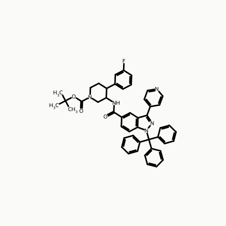 CC(C)(C)OC(=O)N1CCC(c2cccc(F)c2)C(NC(=O)c2ccc3c(c2)c(-c2ccncc2)nn3C(c2ccccc2)(c2ccccc2)c2ccccc2)C1